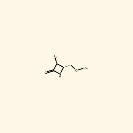 CCCCOC[C@@H]1NC(=O)[C@H]1C(C)=O